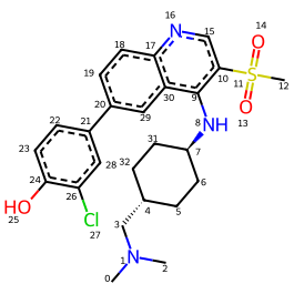 CN(C)C[C@H]1CC[C@H](Nc2c(S(C)(=O)=O)cnc3ccc(-c4ccc(O)c(Cl)c4)cc23)CC1